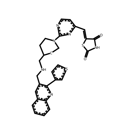 O=C1NC(=O)C(=Cc2ccnc(N3CCC(CNCc4cc5ccccc5nc4-c4ccsc4)CC3)n2)S1